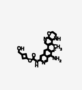 Cc1c(-c2cc3cc(NC(=O)OC4CC(CO)C4)ncc3c(N)c2F)cnc2c1NCCO2